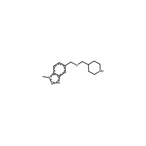 Cn1nnc2cc(COCC3CCNCC3)ccc21